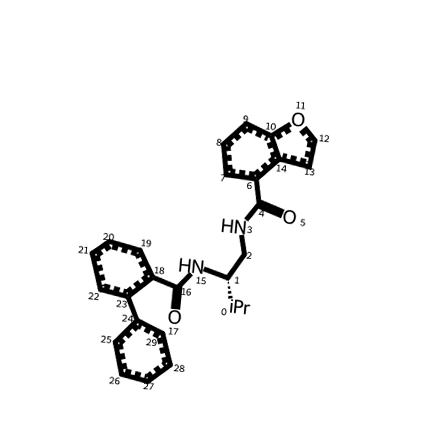 CC(C)[C@@H](CNC(=O)c1cccc2occc12)NC(=O)c1ccccc1-c1ccccc1